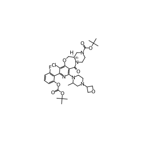 CC1CN(C2COC2)CCN1c1nc(-c2c(F)cccc2OC(=O)OC(C)(C)C)c(Cl)c2c1C(=O)N1CCN(C(=O)OC(C)(C)C)C[C@@H]1CO2